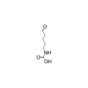 O=CCCCCNC(=O)O